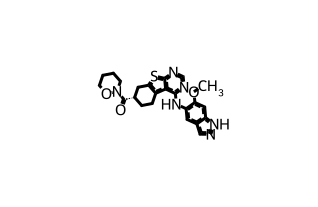 COc1cc2[nH]ncc2cc1Nc1ncnc2sc3c(c12)CC[C@H](C(=O)N1CCCCO1)C3